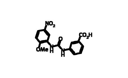 COc1ccc([N+](=O)[O-])cc1NC(=O)Nc1cccc(C(=O)O)c1